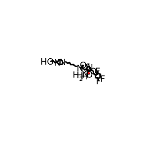 NC(=O)c1c(OCc2cc(F)c(F)cc2F)nsc1NC(=O)NCCCCCCCN1CCN(CCO)CC1